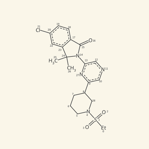 CCS(=O)(=O)N1CCCC(c2cncc(N3C(=O)c4ccc(Cl)cc4C3(C)C)n2)C1